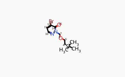 C[Si](C)(C)CCOCn1nccc(Br)c1=O